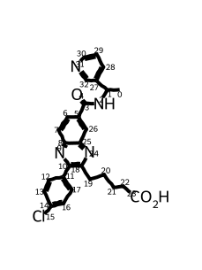 CC(NC(=O)c1ccc2nc(-c3ccc(Cl)cc3)c(CCCCC(=O)O)nc2c1)c1cccnc1